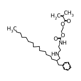 C=C(C)C(=O)OCCOC(=O)NCCNCC(CCCCCCCCCCCCCC)Cc1ccccc1